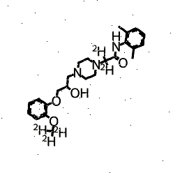 [2H]C([2H])([2H])Oc1ccccc1OCC(O)CN1CCN(C([2H])([2H])C(=O)Nc2c(C)cccc2C)CC1